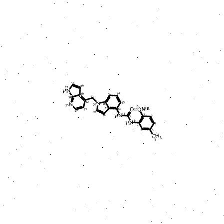 COc1ccc(C)cc1NC(=O)Nc1cccc2c1ccn2Cc1ccnc2[nH]ccc12